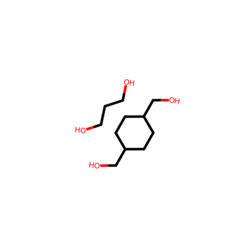 OCC1CCC(CO)CC1.OCCCO